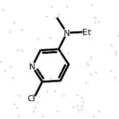 CCN(C)c1ccc(Cl)nc1